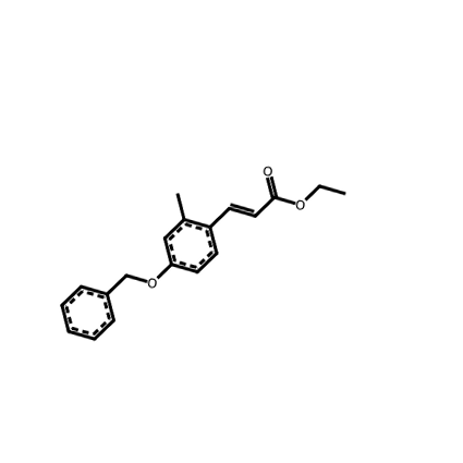 CCOC(=O)C=Cc1ccc(OCc2ccccc2)cc1C